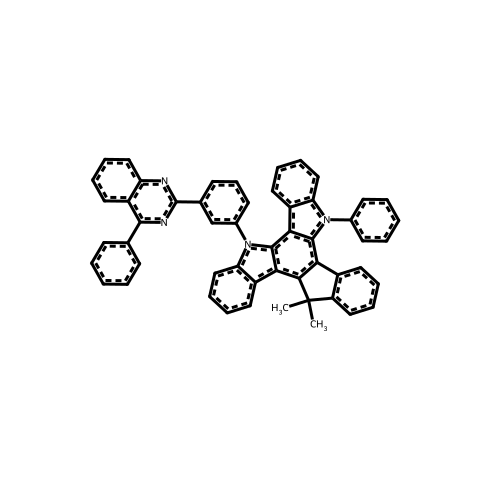 CC1(C)c2ccccc2-c2c1c1c3ccccc3n(-c3cccc(-c4nc(-c5ccccc5)c5ccccc5n4)c3)c1c1c3ccccc3n(-c3ccccc3)c21